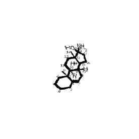 C[C@]12CCCCC1=CC[C@@H]1[C@H]2CC[C@@]2(C)[C@H]1CCC2(N)O